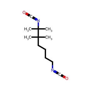 CC(C)(CCCCN=C=O)C(C)(C)N=C=O